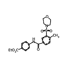 CCOC(=O)c1ccc(NC(=O)c2ccc(C)c(S(=O)(=O)N3CCOCC3)c2)cc1